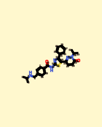 CC(C)NCc1ccc(C(=O)Nc2nc(-c3ccccc3)c(-c3ccc(=O)n(C(C)C)n3)s2)cc1